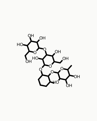 CC1CCCC(OC2OC(CO)C(O)C(OC3OC(CO)C(O)C(O)C3O)C2O)C1OC1OC(C)C(O)C(O)C1O